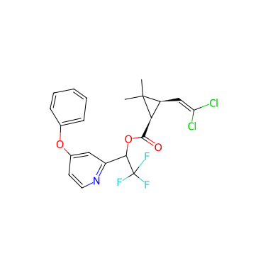 CC1(C)[C@H](C(=O)OC(c2cc(Oc3ccccc3)ccn2)C(F)(F)F)[C@@H]1C=C(Cl)Cl